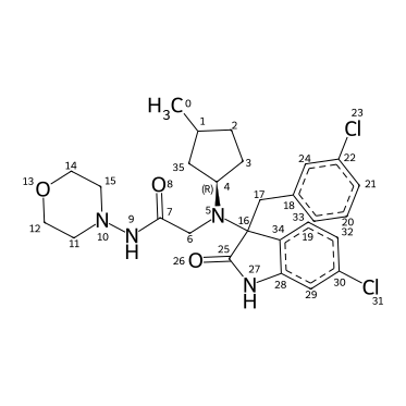 CC1CC[C@@H](N(CC(=O)NN2CCOCC2)C2(Cc3cccc(Cl)c3)C(=O)Nc3cc(Cl)ccc32)C1